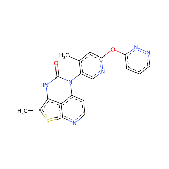 Cc1cc(Oc2cccnn2)ncc1N1C(=O)Nc2c(C)sc3nccc1c23